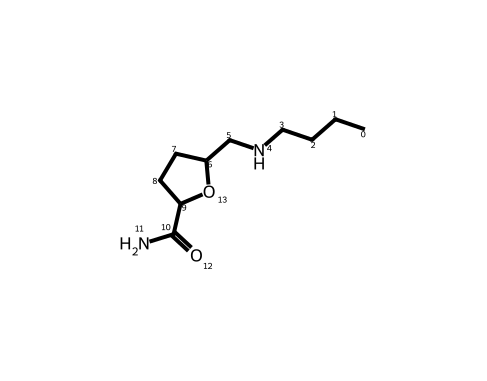 CCCCNCC1CCC(C(N)=O)O1